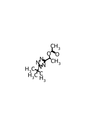 CC(=O)OC(C)c1nnn(C(C)(C)C)n1